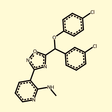 CNc1ncccc1-c1noc(C(Oc2ccc(Cl)cc2)c2cccc(Cl)c2)n1